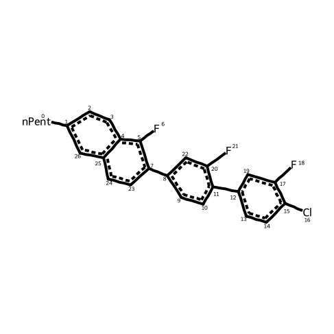 CCCCCc1ccc2c(F)c(-c3ccc(-c4ccc(Cl)c(F)c4)c(F)c3)ccc2c1